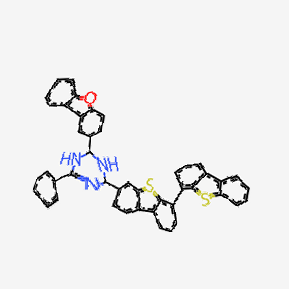 c1ccc(C2=NC(c3ccc4c(c3)sc3c(-c5cccc6c5sc5ccccc56)cccc34)NC(c3ccc4oc5ccccc5c4c3)N2)cc1